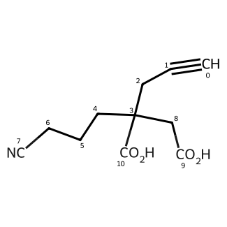 C#CCC(CCCC#N)(CC(=O)O)C(=O)O